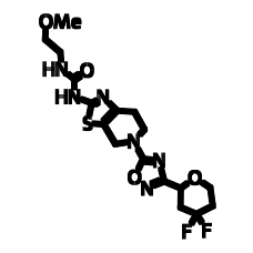 COCCNC(=O)Nc1nc2c(s1)CN(c1nc(C3CC(F)(F)CCO3)no1)CC2